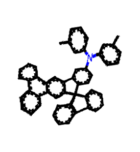 Cc1cccc(N(c2cccc(C)c2)c2ccc3c(c2)-c2cc4c5ccccc5c5ccccc5c4cc2C32c3ccccc3-c3ccccc32)c1